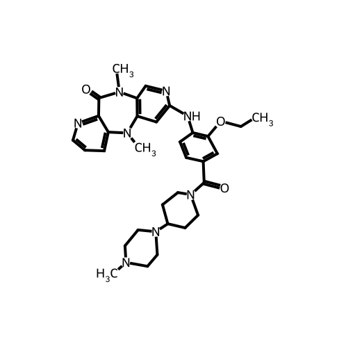 CCOc1cc(C(=O)N2CCC(N3CCN(C)CC3)CC2)ccc1Nc1cc2c(cn1)N(C)C(=O)c1ncccc1N2C